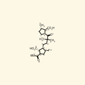 C[C@H]1CCN(C(=O)C(C)(C)CC[C@H]2[C@@H](F)CC(C(=O)C(C)(C)C)[C@@H]2C(=O)O)[C@@H]1C(=O)O